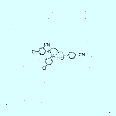 N#Cc1ccc(C(O)CN2CCN(c3ccc(Cl)cc3C#N)[C@H](c3ccc(Cl)cc3)C2)cc1